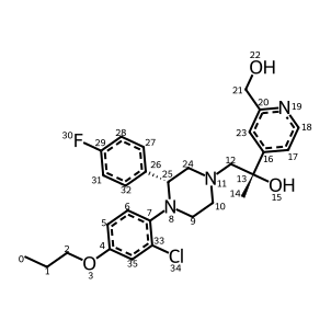 CCCOc1ccc(N2CCN(C[C@@](C)(O)c3ccnc(CO)c3)C[C@H]2c2ccc(F)cc2)c(Cl)c1